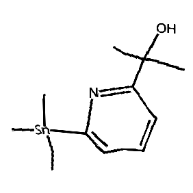 CC(C)(O)c1ccc[c]([Sn]([CH3])([CH3])[CH3])n1